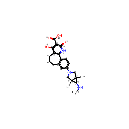 CN[C@H]1[C@@H]2CN(c3ccc4c(c3)CCCc3c-4[nH]c(=O)c(C(=O)O)c3O)C[C@@H]21